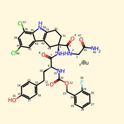 CC[C@H](C)C(NC(=O)[C@@]1(NC(=O)[C@H](CCc2ccc(O)cc2)NC(=O)OCc2ccccc2F)CCc2[nH]c3c(Cl)cc(Cl)cc3c2C1)C(N)=O